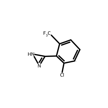 FC(F)(F)c1cc[c]c(Cl)c1C1=NN1